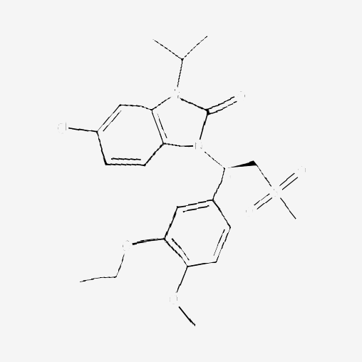 CCOc1cc([C@H](CS(C)(=O)=O)n2c(=O)n(C(C)C)c3cc(Cl)ccc32)ccc1OC